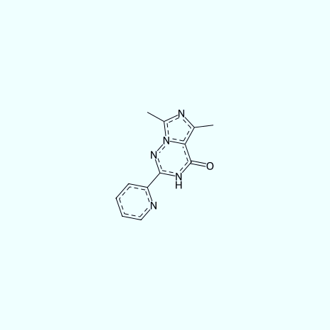 Cc1nc(C)n2nc(-c3ccccn3)[nH]c(=O)c12